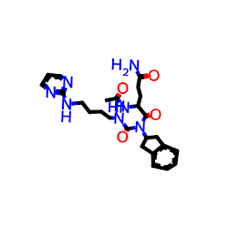 CC(=O)NC(CCC(N)=O)C(=O)N(C(=O)NCCCCNc1ncccn1)C1Cc2ccccc2C1